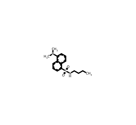 CCCCNS(=O)(=O)c1cccc2c(N(C)C)cccc12